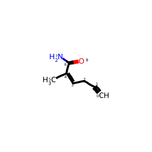 C#CCC=C(C)C(N)=O